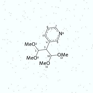 COC(OC)C(c1cccnc1)C(OC)OC